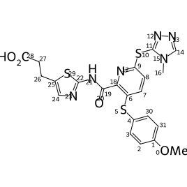 COc1ccc(Sc2ccc(Sc3nncn3C)nc2C(=O)Nc2ncc(CCC(=O)O)s2)cc1